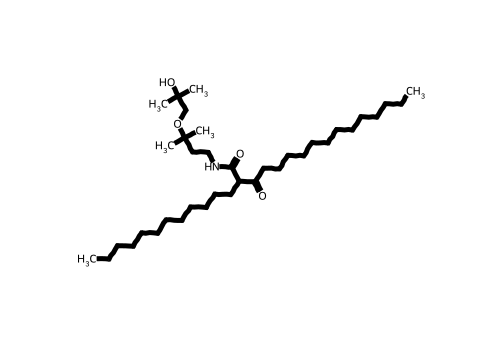 CCCCCCCCCCCCCC(=O)C(CCCCCCCCCCCC)C(=O)NCCC(C)(C)OCC(C)(C)O